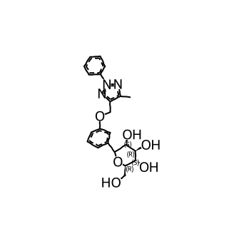 Cc1nn(-c2ccccc2)nc1COc1cccc(C2O[C@H](CO)[C@@H](O)[C@H](O)[C@@H]2O)c1